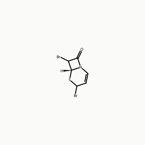 O=C1C(Br)[C@H]2SC(Br)C=CN12